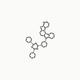 c1ccc(-c2nc(-c3ccccc3)nc(-c3cccc(-n4c5ccccc5c5c6c(ccc54)sc4ncccc46)c3)n2)cc1